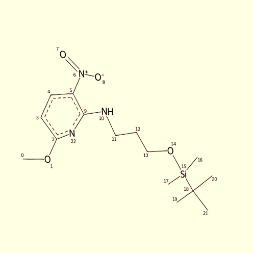 COc1ccc([N+](=O)[O-])c(NCCCO[Si](C)(C)C(C)(C)C)n1